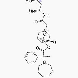 CC(C(=O)O[C@H]1C[N+]2(CC(=O)NC(=N)/C=C\O)CCC1CC2)(c1ccccc1)N1CCCCCC1